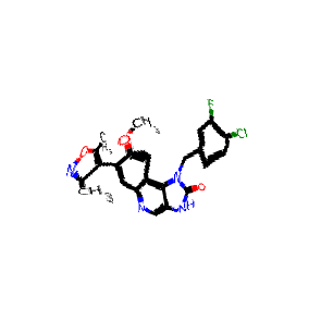 COc1cc2c(cc1-c1c(C)noc1C)ncc1[nH]c(=O)n(Cc3ccc(Cl)c(F)c3)c12